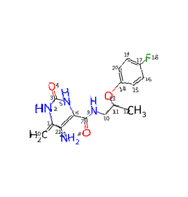 C=C1NC(=O)NC(C(=O)NCC(C)Oc2ccc(F)cc2)=C1N